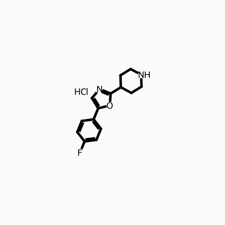 Cl.Fc1ccc(-c2cnc(C3CCNCC3)o2)cc1